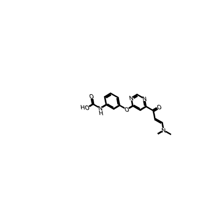 CN(C)C=CC(=O)c1cc(Oc2cccc(NC(=O)O)c2)ncn1